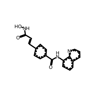 O=C(C=Cc1ccc(C(=O)Nc2cccc3cccnc23)cc1)NO